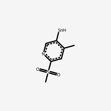 Cc1cc(S(C)(=O)=O)nc[c]1[SnH]